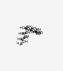 O.O.O.O.OB(O)O.OB(O)O.OB(O)O.OB(O)O.OB(O)O.[K]